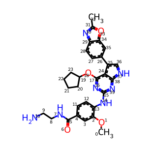 COc1cc(C(=O)NCCN)ccc1Nc1nc(OC2CCCC2)c2c(-c3ccc4nc(C)oc4c3)c[nH]c2n1